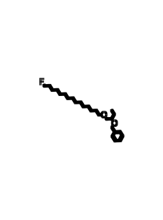 CCC(COCCCCCCCCCCCCCCCF)OCc1ccccc1